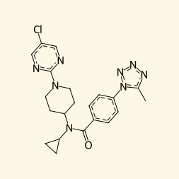 Cc1nnnn1-c1ccc(C(=O)N(C2CC2)C2CCN(c3ncc(Cl)cn3)CC2)cc1